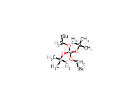 CC(C)(C)[SiH2]O[Si](O[SiH2]C(C)(C)C)(O[Si](C)(C)C)O[Si](C)(C)C